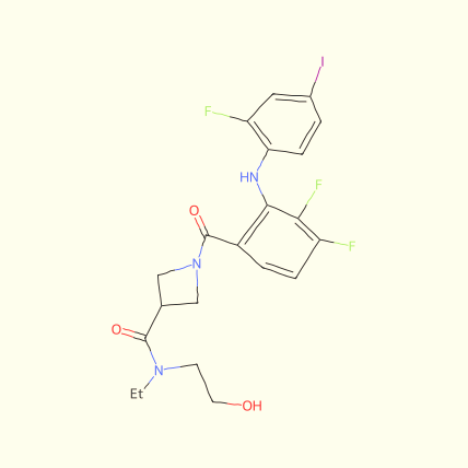 CCN(CCO)C(=O)C1CN(C(=O)c2ccc(F)c(F)c2Nc2ccc(I)cc2F)C1